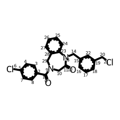 O=C(c1ccc(Cl)cc1)N1CC(=O)N(Cc2cccc(CCl)c2)c2ccccc2C1